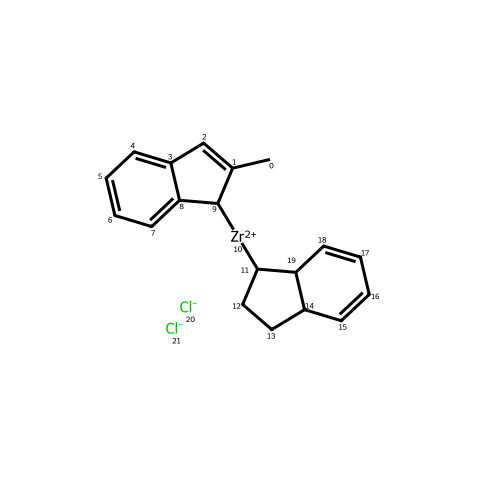 CC1=Cc2ccccc2[CH]1[Zr+2][CH]1CCC2C=CC=CC21.[Cl-].[Cl-]